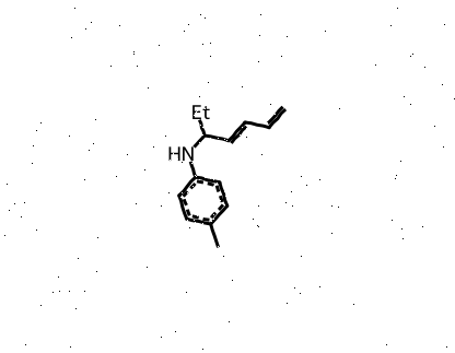 C=CC=CC(CC)Nc1ccc(C)cc1